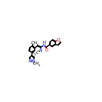 C=N/C(=C\c1cc(-c2cnn(C)c2)ccc1C)NC(=O)c1ccc2occc2c1